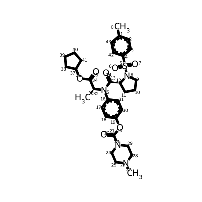 Cc1ccc(S(=O)(=O)N2CCC[C@H]2C(=O)N(c2ccc(OC(=O)N3CCN(C)CC3)cc2)[C@@H](C)C(=O)OC2CCCC2)cc1